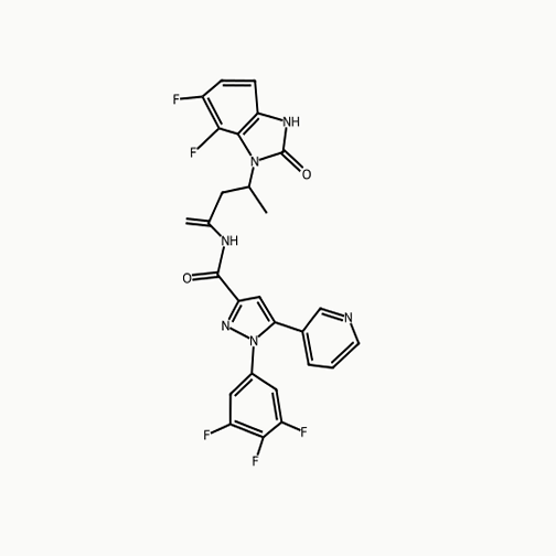 C=C(CC(C)n1c(=O)[nH]c2ccc(F)c(F)c21)NC(=O)c1cc(-c2cccnc2)n(-c2cc(F)c(F)c(F)c2)n1